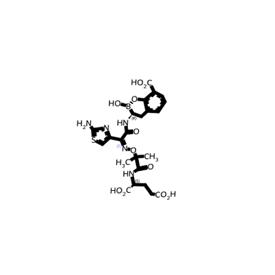 CC(C)(O/N=C(\C(=O)N[C@H]1Cc2cccc(C(=O)O)c2OB1O)c1csc(N)n1)C(=O)N[C@@H](CCC(=O)O)C(=O)O